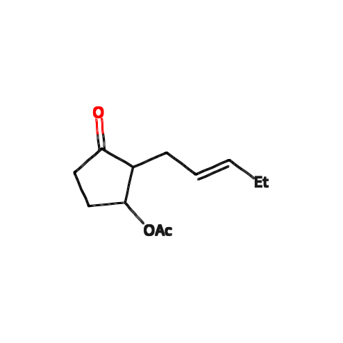 CCC=CCC1C(=O)CCC1OC(C)=O